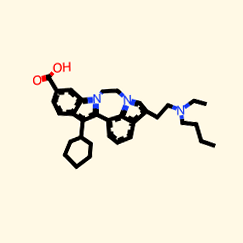 CCCCN(CC)CCc1cn2c3c(cccc13)-c1c(C3CCCCC3)c3ccc(C(=O)O)cc3n1CC2